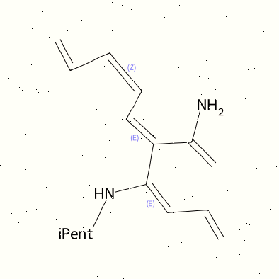 C=C\C=C/C=C(C(=C)N)/C(=C\C=C)NC(C)CCC